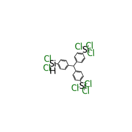 Cl[SiH](Cl)c1ccc(C(c2ccc([Si](Cl)(Cl)Cl)cc2)c2ccc([Si](Cl)(Cl)Cl)cc2)cc1